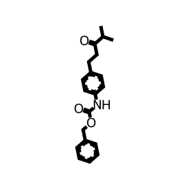 CC(C)C(=O)CCc1ccc(NC(=O)OCc2ccccc2)cc1